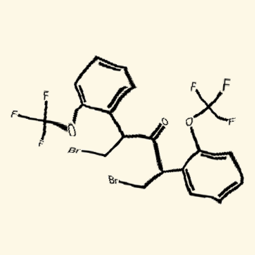 O=C(C(CBr)c1ccccc1OC(F)(F)F)C(CBr)c1ccccc1OC(F)(F)F